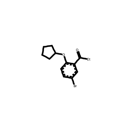 CCC(=O)c1cc(Br)ccc1OC1CCCC1